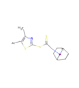 CC(=O)c1sc(SC(=S)N2CC3CCC(CC3)C2)nc1C